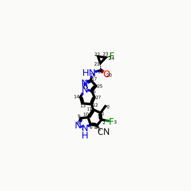 Cc1c(F)c(C#N)c2[nH]ncc2c1-c1ccn2nc(NC(=O)[C@@H]3C[C@@H]3F)cc2c1